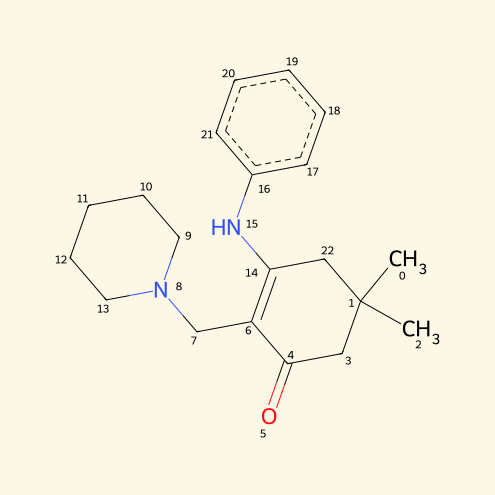 CC1(C)CC(=O)C(CN2CCCCC2)=C(Nc2ccccc2)C1